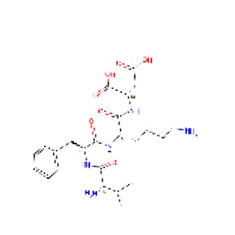 CC(C)[C@H](N)C(=O)N[C@@H](Cc1ccccc1)C(=O)N[C@@H](CCCCN)C(=O)N[C@@H](CC(=O)O)C(=O)O